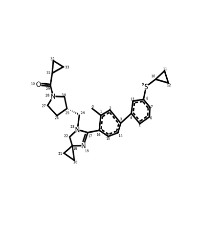 Cc1cc(-c2cccc(SC3CC3)c2)ccc1C1=NC2(CC2)CN1C[C@@H]1CCN(C(=O)C2CC2)C1